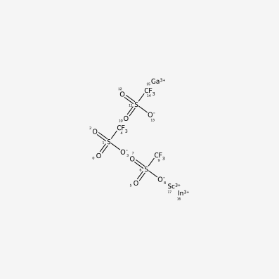 O=S(=O)([O-])C(F)(F)F.O=S(=O)([O-])C(F)(F)F.O=S(=O)([O-])C(F)(F)F.[Ga+3].[In+3].[Sc+3]